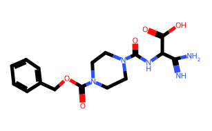 N=C(N)C(NC(=O)N1CCN(C(=O)OCc2ccccc2)CC1)C(=O)O